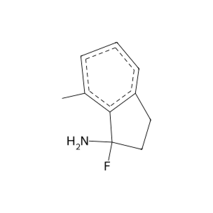 Cc1cccc2c1C(N)(F)CC2